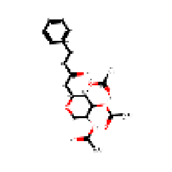 CCCCC(=O)O[C@H]1[C@H](OC(=O)CCCC)COC(CC(=O)CCc2ccccc2)[C@@H]1OC(=O)CCCC